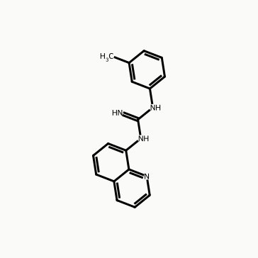 Cc1cccc(NC(=N)Nc2cccc3cccnc23)c1